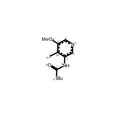 COc1cncc(NC(=O)C(C)(C)C)c1I